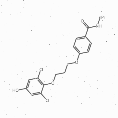 CCCNC(=O)c1ccc(OCCCOc2c(Cl)cc(O)cc2Cl)cc1